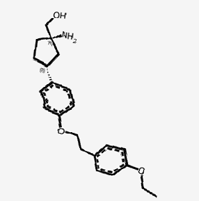 CCOc1ccc(CCOc2ccc([C@@H]3CC[C@](N)(CO)C3)cc2)cc1